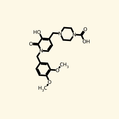 COc1ccc(Cn2ccc(CN3CCN(C(=O)O)CC3)c(O)c2=O)cc1OC